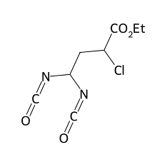 CCOC(=O)C(Cl)CC(N=C=O)N=C=O